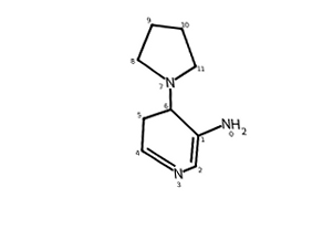 NC1=CN=CCC1N1CCCC1